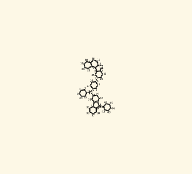 c1ccc(N(c2ccc(-c3ccc4oc5ccc6ccccc6c5c4c3)cc2)c2ccc3c(c2)c2ccccc2n3-c2ccccc2)cc1